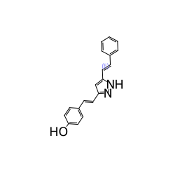 Oc1ccc(C=Cc2cc(/C=C/c3ccccc3)[nH]n2)cc1